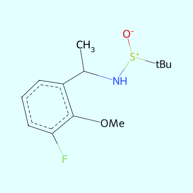 COc1c(F)cccc1C(C)N[S+]([O-])C(C)(C)C